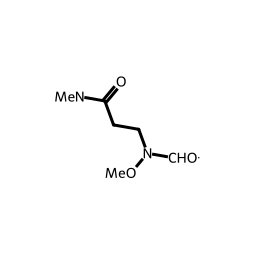 CNC(=O)CCN([C]=O)OC